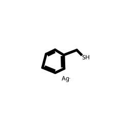 SCc1ccccc1.[Ag]